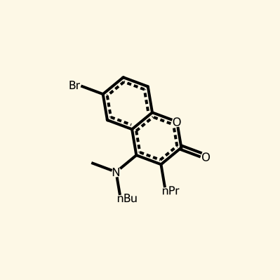 CCCCN(C)c1c(CCC)c(=O)oc2ccc(Br)cc12